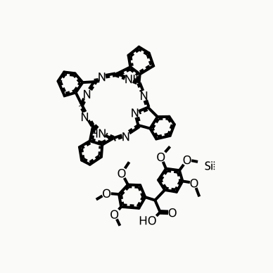 COc1cc(C(C(=O)O)c2cc(OC)c(OC)c(OC)c2)cc(OC)c1OC.[Si].c1ccc2c(c1)-c1nc-2nc2[nH]c(nc3nc(nc4[nH]c(n1)c1ccccc41)-c1ccccc1-3)c1ccccc21